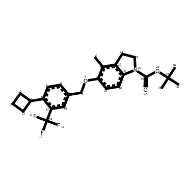 Cc1c(OCc2ccc(C3CCC3)c(C(F)(F)F)c2)ccc2c1CCN2C(=O)OC(C)(C)C